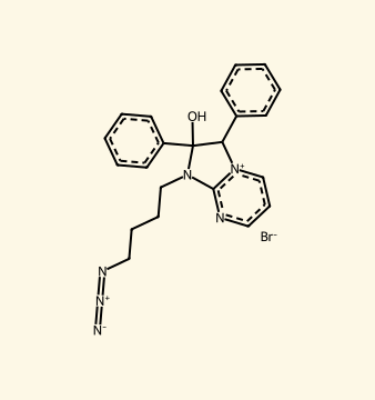 [Br-].[N-]=[N+]=NCCCCN1c2nccc[n+]2C(c2ccccc2)C1(O)c1ccccc1